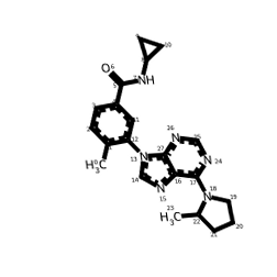 Cc1ccc(C(=O)NC2CC2)cc1-n1cnc2c(N3CCCC3C)ncnc21